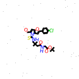 CC(C)(CNC(=S)n1c(C=O)cc2oc(-c3ccc(Cl)cc3)cc21)CC(=O)NCC(=O)OC(C)(C)C